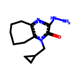 NNc1nc2c(n(CC3CC3)c1=O)CCCCC2